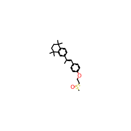 CC(=Cc1ccc(OCC[S+](C)[O-])cc1)c1ccc2c(c1)C(C)(C)CCC2(C)C